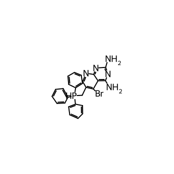 Nc1nc(N)c2c(Br)c(C[PH](c3ccccc3)(c3ccccc3)c3ccccc3)cnc2n1